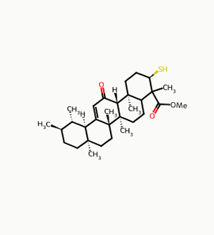 COC(=O)C1(C)C2CC[C@]3(C)[C@H](C(=O)C=C4[C@@H]5[C@@H](C)[C@H](C)CC[C@]5(C)CC[C@]43C)[C@@]2(C)CC[C@H]1S